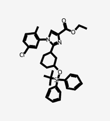 CCOC(=O)c1cn(-c2cc(Cl)ccc2C)c(C2CCCC(O[Si](c3ccccc3)(c3ccccc3)C(C)(C)C)C2)n1